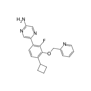 Nc1cnc(-c2ccc(C3CCC3)c(OCc3ccccn3)c2F)cn1